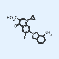 NC1CC=CC2CN(c3cc4c(cc3F)c(=O)c(C(=O)O)cn4C3CC3)CC12